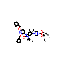 C[C@@H]1CN(C(=O)OC(C)(C)C)CCN1c1ccc2c(c1)n(C)c(=O)n2-c1ccc(OCc2ccccc2)nc1OCc1ccccc1